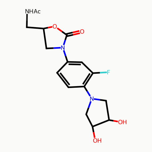 CC(=O)NCC1CN(c2ccc(N3CC(O)C(O)C3)c(F)c2)C(=O)O1